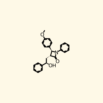 COc1ccc([C@@H]2[C@@H](C[C@@H](O)c3ccccc3)C(=O)N2c2ccccc2)cc1